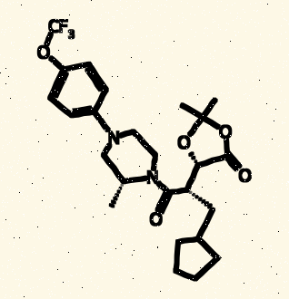 C[C@@H]1CN(c2ccc(OC(F)(F)F)cc2)CCN1C(=O)[C@@H](CC1CCCC1)[C@@H]1OC(C)(C)OC1=O